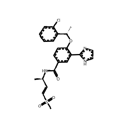 C[C@H](/C=C/S(C)(=O)=O)NC(=O)c1ccc(O[C@@H](C)c2ccccc2Cl)c(-c2ncc[nH]2)c1